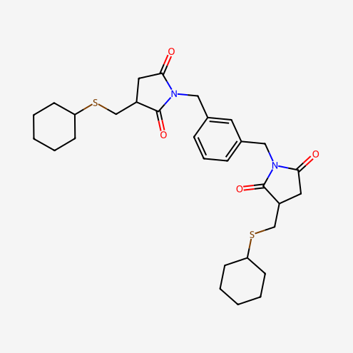 O=C1CC(CSC2CCCCC2)C(=O)N1Cc1cccc(CN2C(=O)CC(CSC3CCCCC3)C2=O)c1